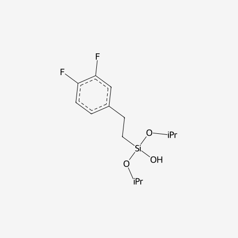 CC(C)O[Si](O)(CCc1ccc(F)c(F)c1)OC(C)C